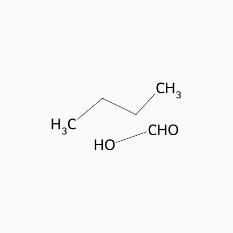 CCCC.O=CO